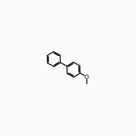 COc1ccc(-c2[c]cccc2)cc1